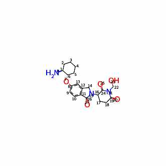 N[C@H]1CCCC[C@@H]1Oc1ccc2c(c1)CN(C1CCC(=O)N(CO)C1=O)C2=O